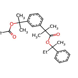 CCC(C)(OC(=O)C(C)(C)c1cccc(C(C)(C)OC(=O)C(C)C)c1)c1ccccc1